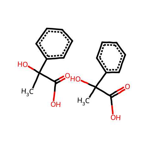 CC(O)(C(=O)O)c1ccccc1.CC(O)(C(=O)O)c1ccccc1